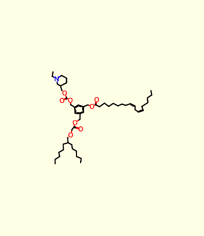 CCCCC/C=C\C/C=C\CCCCCCCC(=O)OCc1cc(COC(=O)COCC(CCCCCC)CCCCCC)cc(COC(=O)OCC2CCCN(CC)C2)c1